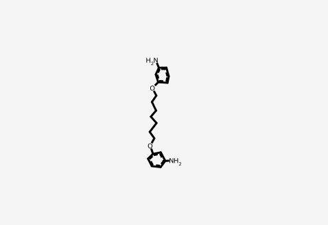 Nc1cccc(OCCCCCCCOc2cccc(N)c2)c1